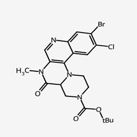 CN1C(=O)C2CN(C(=O)OC(C)(C)C)CCN2c2c1cnc1cc(Br)c(Cl)cc21